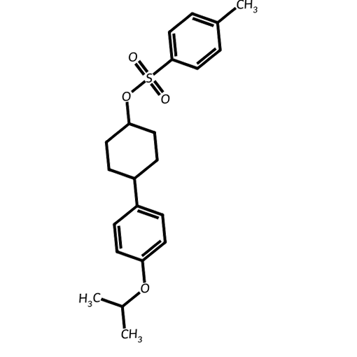 Cc1ccc(S(=O)(=O)OC2CCC(c3ccc(OC(C)C)cc3)CC2)cc1